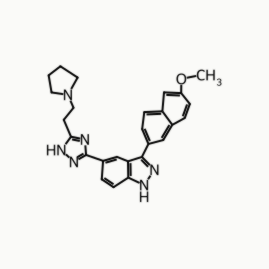 COc1ccc2cc(-c3n[nH]c4ccc(-c5n[nH]c(CCN6CCCC6)n5)cc34)ccc2c1